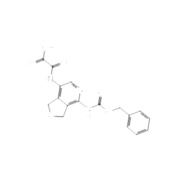 O=C(Nc1ncc(NC(=O)C(=O)O)c2c1COC2)OCc1ccccc1